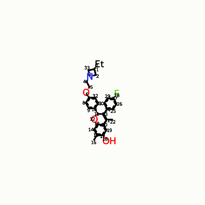 CCC1CN(CCOc2ccc([C@@H]3Oc4cc(C)c(O)cc4C(C)=C3c3ccc(F)cc3)cc2)C1